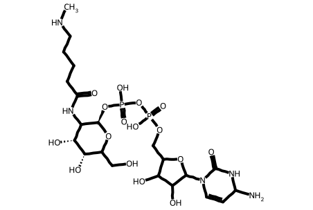 CNCCCCC(=O)NC1[C@@H](OP(=O)(O)OP(=O)(O)OCC2OC(N3C=CC(N)NC3=O)C(O)C2O)OC(CO)[C@H](O)[C@@H]1O